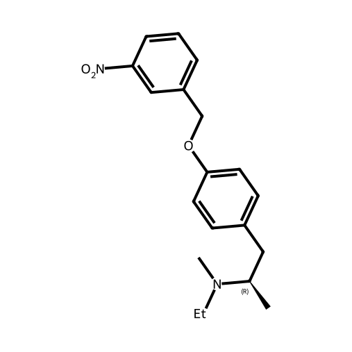 CCN(C)[C@H](C)Cc1ccc(OCc2cccc([N+](=O)[O-])c2)cc1